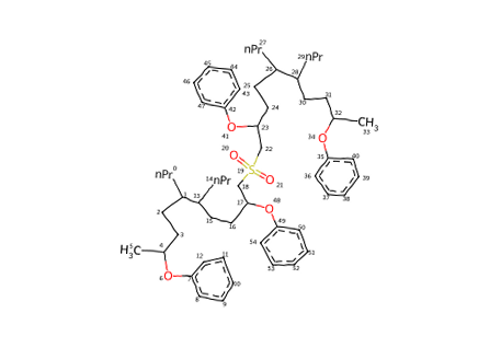 CCCC(CCC(C)Oc1ccccc1)C(CCC)CCC(CS(=O)(=O)CC(CCC(CCC)C(CCC)CCC(C)Oc1ccccc1)Oc1ccccc1)Oc1ccccc1